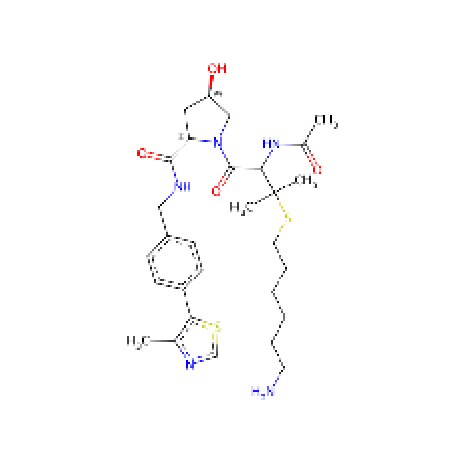 CC(=O)NC(C(=O)N1C[C@H](O)C[C@H]1C(=O)NCc1ccc(-c2scnc2C)cc1)C(C)(C)SCCCCCCN